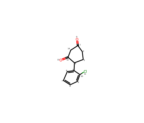 O=C1CCC(c2ccccc2Cl)C(=O)C1